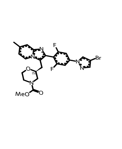 COC(=O)N1CCO[C@@H](Cc2c(-c3c(F)cc(-n4cc(Br)cn4)cc3F)nc3cc(C)ccn23)C1